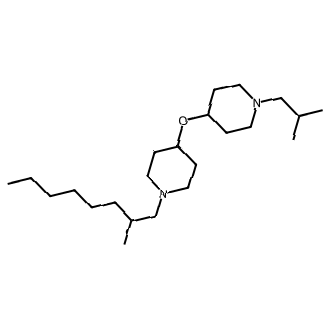 CCCCCCC(C)CN1CCC(OC2CCN(CC(C)C)CC2)CC1